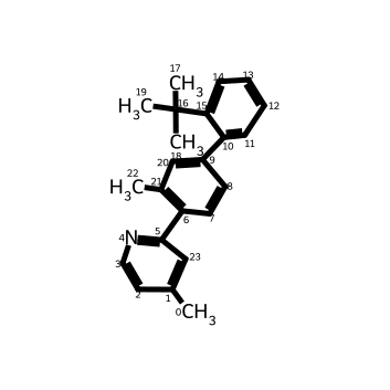 Cc1ccnc(-c2ccc(-c3ccccc3C(C)(C)C)cc2C)c1